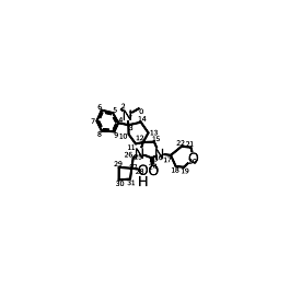 CN(C)C1(c2ccccc2)CCC2(CC1)CN(C1CCOCC1)C(=O)N2CC1(O)CCC1